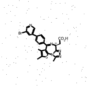 Cc1sc2c(c1C)C(c1ccc(-c3cncc(Br)c3)cc1)=N[C@@H](CC(=O)O)c1nnc(C)n1-2